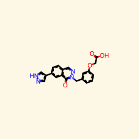 O=C(O)COc1cccc(Cn2ncc3ccc(-c4cn[nH]c4)cc3c2=O)c1